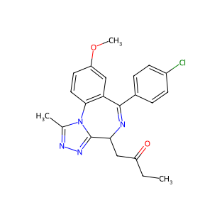 CCC(=O)CC1N=C(c2ccc(Cl)cc2)c2cc(OC)ccc2-n2c(C)nnc21